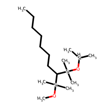 CCCCCCCC([Si](C)(C)OC)[Si](C)(C)O[SiH](C)C